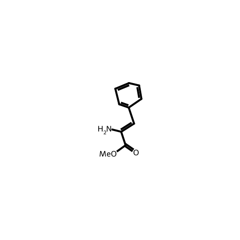 COC(=O)C(N)=Cc1ccccc1